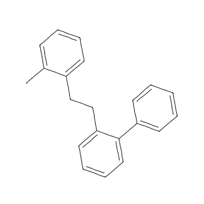 Cc1ccccc1CCc1ccccc1-c1ccccc1